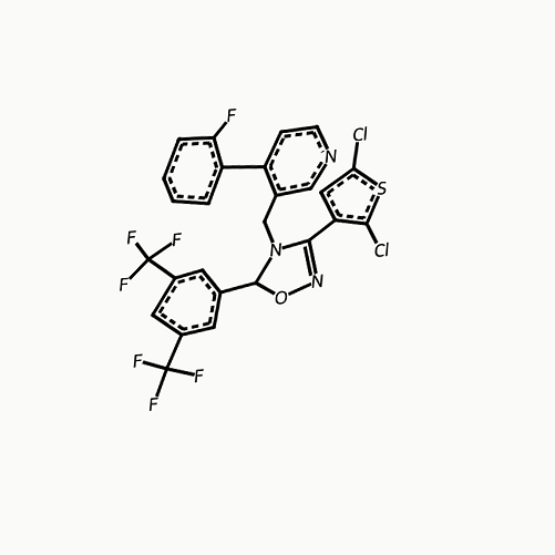 Fc1ccccc1-c1ccncc1CN1C(c2cc(Cl)sc2Cl)=NOC1c1cc(C(F)(F)F)cc(C(F)(F)F)c1